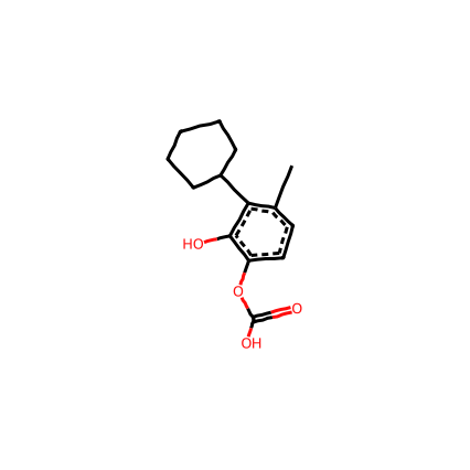 Cc1ccc(OC(=O)O)c(O)c1C1CCCCC1